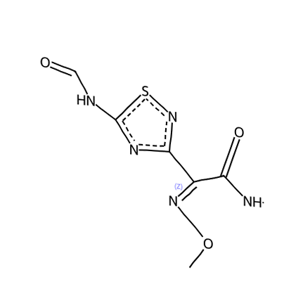 CO/N=C(\C([NH])=O)c1nsc(NC=O)n1